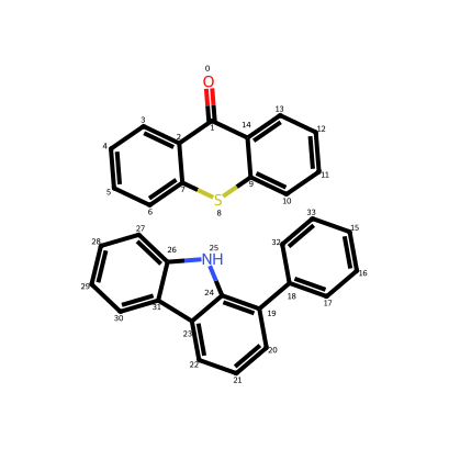 O=c1c2ccccc2sc2ccccc12.c1ccc(-c2cccc3c2[nH]c2ccccc23)cc1